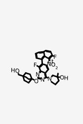 CCc1c(F)ccc2cccc(-c3c([N+](=O)[O-])cc4c(N5CCCC(C)(O)C5)nc(OC56CCC(CO)(CC5)CC6)nc4c3F)c12